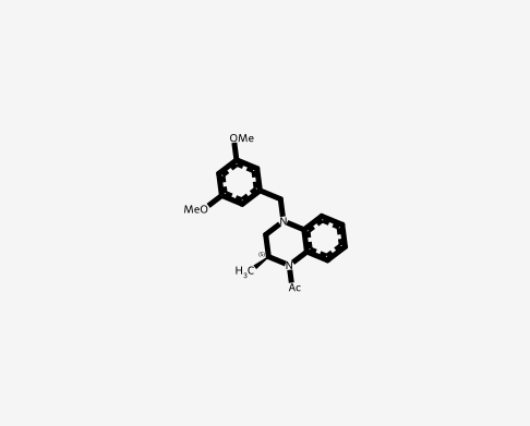 COc1cc(CN2C[C@H](C)N(C(C)=O)c3ccccc32)cc(OC)c1